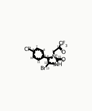 O=C(Cn1c(-c2ccc(Cl)cc2)c(Br)[nH]c1=O)C(F)(F)F